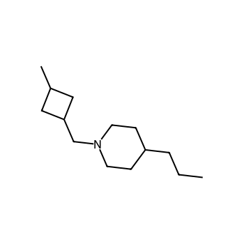 CCCC1CCN(CC2CC(C)C2)CC1